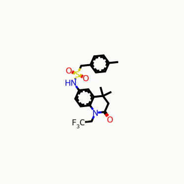 Cc1ccc(CS(=O)(=O)Nc2ccc3c(c2)C(C)(C)CC(=O)N3CC(F)(F)F)cc1